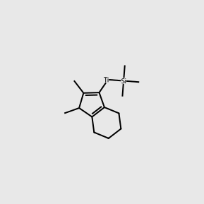 CC1=[C]([Ti][Si](C)(C)C)C2=C(CCCC2)C1C